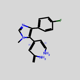 C=C(N)/C=C(\C=C/N)c1c(-c2ccc(F)cc2)ncn1C